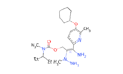 CCC(CC)N(C)C(=O)OC/C(=C(/N)c1ccc(OC2CCCCC2)c(C)n1)N(C)N